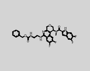 CN(C(=O)c1cc2cc(F)c(F)cc2[nH]1)C1COCc2nc(NCCNC(=O)OCc3ccccc3)c3cc(F)c(F)cc3c21